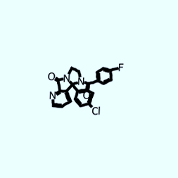 O=C(c1ccc(F)cc1)N1CCN2C(=O)c3ncccc3C12c1ccc(Cl)cc1